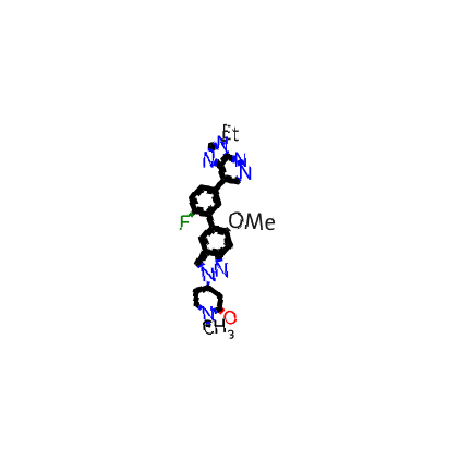 CCn1cnc2c(-c3ccc(F)c(-c4cc5cn([C@@H]6CCN(C)C(=O)C6)nc5cc4OC)c3)cnnc21